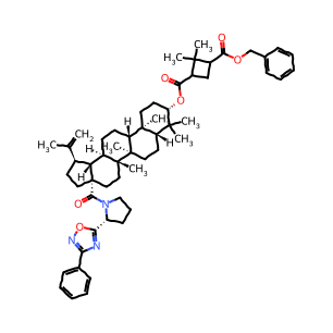 C=C(C)[C@@H]1CC[C@]2(C(=O)N3CCC[C@@H]3c3nc(-c4ccccc4)no3)CC[C@]3(C)[C@H](CC[C@@H]4[C@@]5(C)CC[C@H](OC(=O)C6CC(C(=O)OCc7ccccc7)C6(C)C)C(C)(C)[C@@H]5CC[C@]43C)[C@@H]12